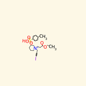 CCOC(=O)CC[N+]1(CC#CI)CCCCC1.Cc1ccc(S(=O)(=O)O)cc1